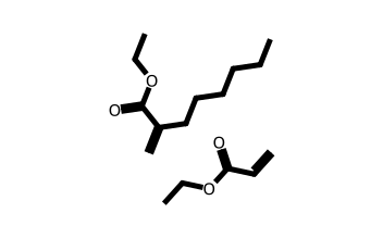 C=C(CCCCCC)C(=O)OCC.C=CC(=O)OCC